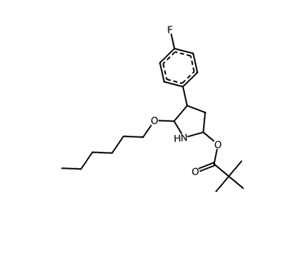 CCCCCCOC1NC(OC(=O)C(C)(C)C)CC1c1ccc(F)cc1